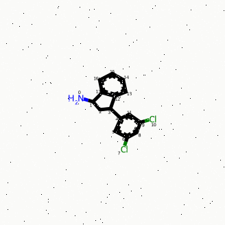 NC1CC(c2cc(Cl)cc(Cl)c2)c2ccccc21